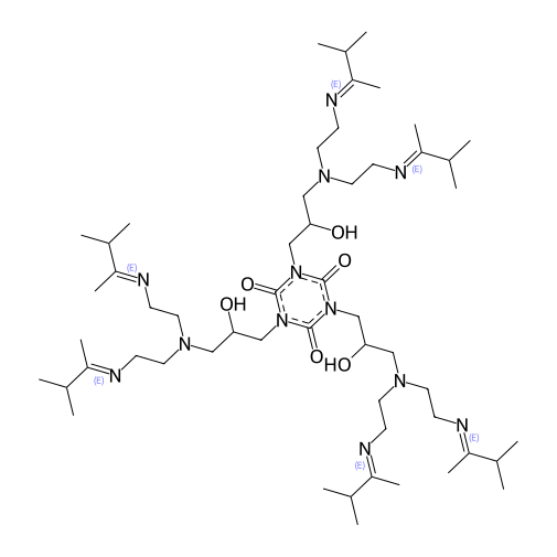 C/C(=N\CCN(CC/N=C(\C)C(C)C)CC(O)Cn1c(=O)n(CC(O)CN(CC/N=C(\C)C(C)C)CC/N=C(\C)C(C)C)c(=O)n(CC(O)CN(CC/N=C(\C)C(C)C)CC/N=C(\C)C(C)C)c1=O)C(C)C